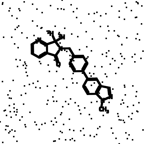 [2H]C1([2H])c2ncccc2C(=O)N1Cc1ccc(-c2ccc3c(cnn3C)c2)cc1